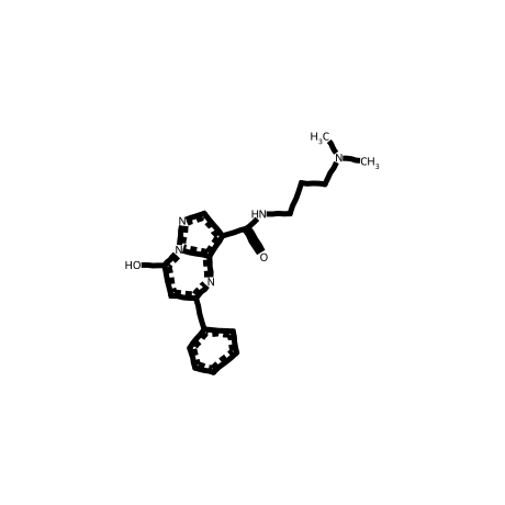 CN(C)CCCNC(=O)c1cnn2c(O)cc(-c3ccccc3)nc12